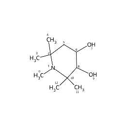 CN1C(C)(C)CC(O)C(O)C1(C)C